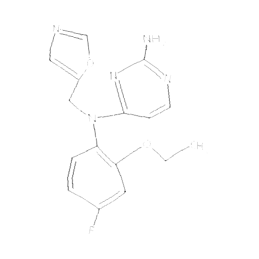 CCOc1cc(F)ccc1N(Cc1cnco1)c1ccnc(N)n1